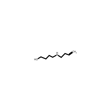 C=CCCNCCCCO